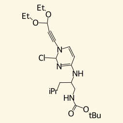 CCOC(C#CN1C=CC(NC(CNC(=O)OC(C)(C)C)CC(C)C)=NC1Cl)OCC